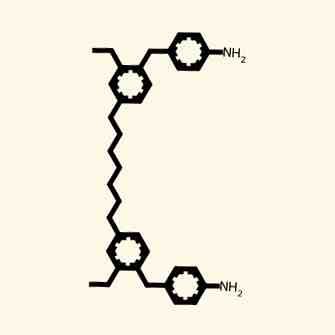 CCc1cc(CCCCCCCc2ccc(Cc3ccc(N)cc3)c(CC)c2)ccc1Cc1ccc(N)cc1